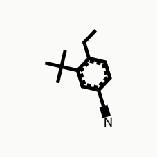 CCc1ccc(C#N)cc1C(C)(C)C